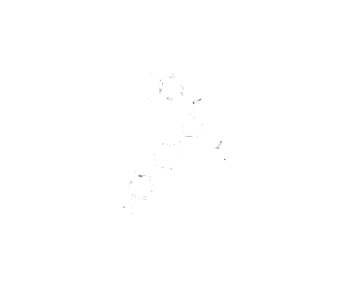 O=C(c1ccc(Cl)c(Cl)c1)N1C[C@H](OC(=O)C(F)(F)F)[C@@H](N2CCN(c3ccc(C(F)(F)F)cn3)CC2)C1